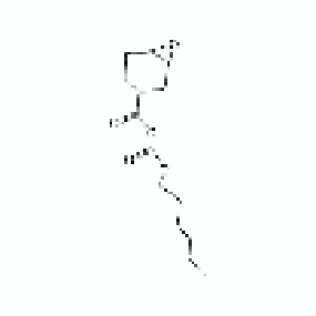 CCCCCCOC(=O)OC(=O)C1CCC2OC2C1